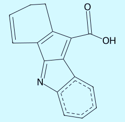 O=C(O)C1=C2C(=Nc3ccccc32)C2=C1CCC=C2